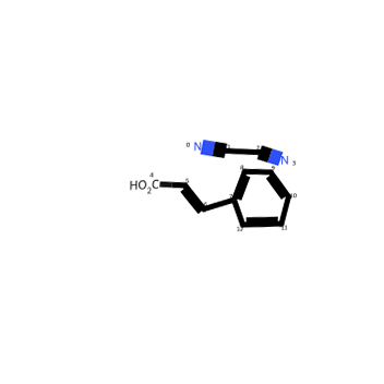 N#CC#N.O=C(O)C=Cc1ccccc1